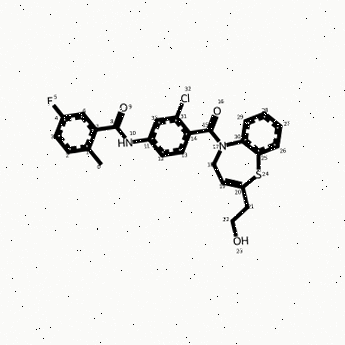 Cc1ccc(F)cc1C(=O)Nc1ccc(C(=O)N2CC=C(CCO)Sc3ccccc32)c(Cl)c1